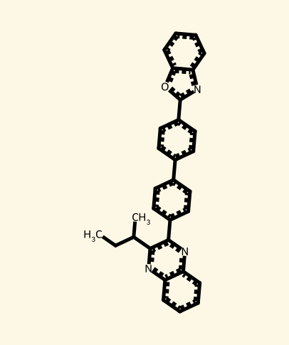 CCC(C)c1nc2ccccc2nc1-c1ccc(-c2ccc(-c3nc4ccccc4o3)cc2)cc1